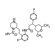 CCC[S+]([O-])N1CCNCC1CCc1c(F)cccc1NC(=O)CC(c1ccc(F)cc1)C1CC(C)OC(C)C1